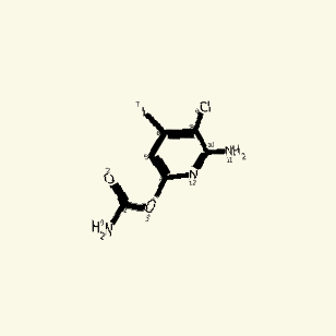 NC(=O)Oc1cc(I)c(Cl)c(N)n1